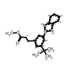 COC(=O)CCc1cc(-n2nc3ccccc3n2)cc(C(C)(C)C)c1